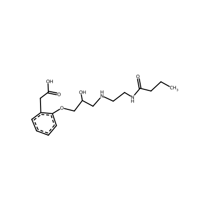 CCCC(=O)NCCNCC(O)COc1ccccc1CC(=O)O